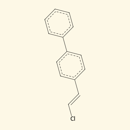 ClC=Cc1ccc(-c2ccccc2)cc1